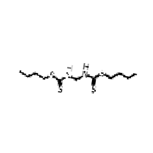 CCCCSC(=S)NCNC(=S)SCCCC